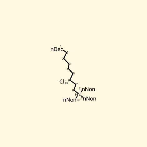 CCCCCCCCCCCCCCCCCC[N+](CCCCCCCCC)(CCCCCCCCC)CCCCCCCCC.[Cl-]